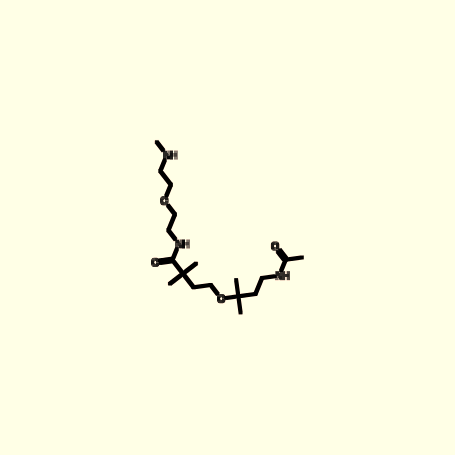 CNCCOCCNC(=O)C(C)(C)CCOC(C)(C)CCNC(C)=O